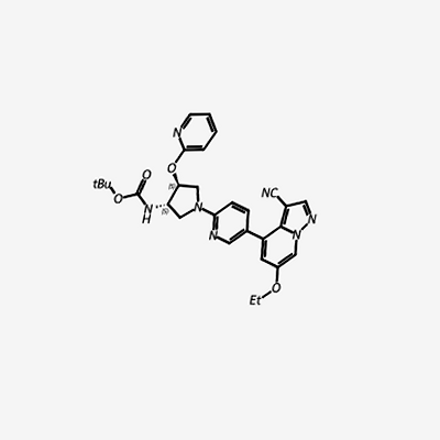 CCOc1cc(-c2ccc(N3C[C@H](NC(=O)OC(C)(C)C)[C@@H](Oc4ccccn4)C3)nc2)c2c(C#N)cnn2c1